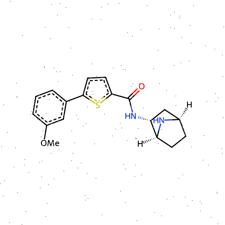 COc1cccc(-c2ccc(C(=O)N[C@@H]3C[C@H]4CC[C@@H]3N4)s2)c1